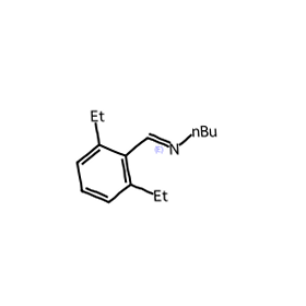 CCCC/N=C/c1c(CC)cccc1CC